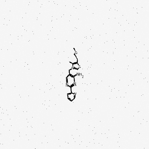 COCCc1sc[n+](Cc2cnc(-c3ccccn3)nc2N)c1C